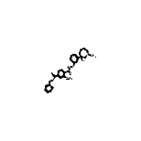 CCC1(c2cccc(ONC(=O)c3ccc(C(=O)OCc4ccccc4)cc3OC)c2)CCCCN(C)C1